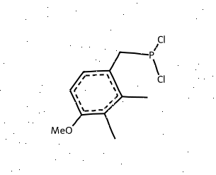 COc1ccc(CP(Cl)Cl)c(C)c1C